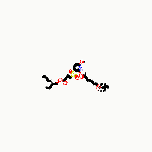 CCCC[C@@H](CC)COC(=O)CCS(=O)(=O)c1ccc(OC)nc1O[C@H](C)CCCCO[Si](C)(C)C(C)(C)C